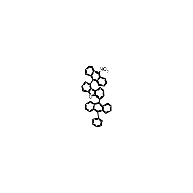 O=[N+]([O-])c1c2ccccc2c(-c2cccc3oc4c(-c5c6ccccc6c(-c6ccccc6)c6ccccc56)cccc4c23)c2ccccc12